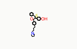 O=C(c1ccc(CCCCN2CCCC2)cc1)c1c(-c2ccccc2)sc2cc(O)ccc12